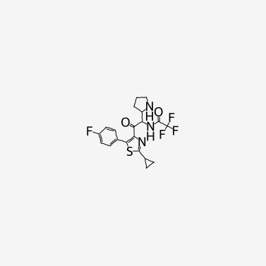 O=C(c1nc(C2CC2)sc1-c1ccc(F)cc1)C(NC(=O)C(F)(F)F)C1CCCN1